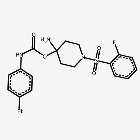 CCc1ccc(NC(=O)OC2(N)CCN(S(=O)(=O)c3ccccc3F)CC2)cc1